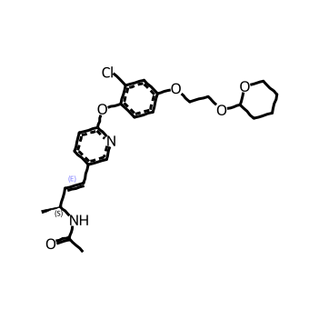 CC(=O)N[C@@H](C)/C=C/c1ccc(Oc2ccc(OCCOC3CCCCO3)cc2Cl)nc1